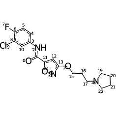 O=C(Nc1ccc(F)c(Cl)c1)c1cc(OCCCN2CCCC2)no1